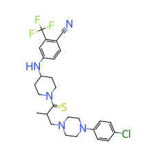 CC(CN1CCN(c2ccc(Cl)cc2)CC1)C(=S)N1CCC(Nc2ccc(C#N)c(C(F)(F)F)c2)CC1